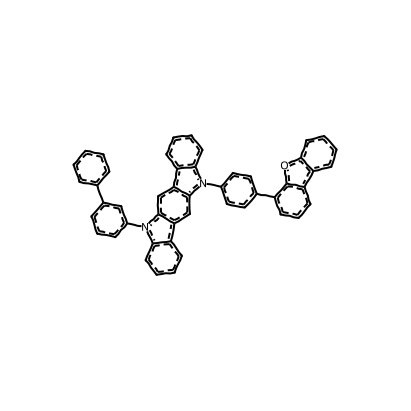 c1ccc(-c2cccc(-n3c4ccccc4c4cc5c(cc43)c3ccccc3n5-c3ccc(-c4cccc5c4oc4ccccc45)cc3)c2)cc1